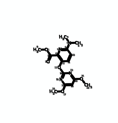 COC(=O)c1nc(N(C)C)ccc1Oc1nc(OC)cc(OC)n1